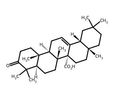 CC1(C)CC[C@]2(C)CC[C@]3(C(=O)O)C(=CC[C@@H]4[C@@]5(C)CCC(=O)C(C)(C)[C@@H]5CC[C@]43C)[C@@H]2C1